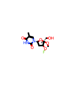 CO[C@]1(CO)O[C@@H](n2cc(C)c(=O)[nH]c2=O)CC1OF